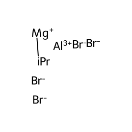 C[CH](C)[Mg+].[Al+3].[Br-].[Br-].[Br-].[Br-]